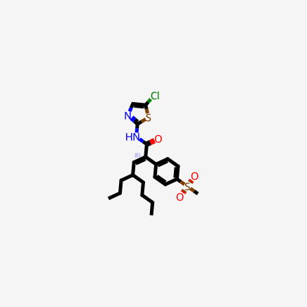 CCCCC(/C=C(/C(=O)Nc1ncc(Cl)s1)c1ccc(S(C)(=O)=O)cc1)CCC